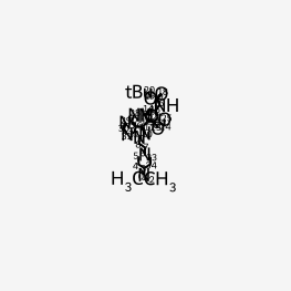 CN(C)C1CCN(CCn2nc(-c3ncc(NC(=O)OC(C)(C)C)c4c3OCO4)c3c(N)ncnc32)CC1